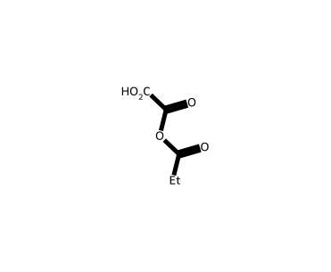 CCC(=O)OC(=O)C(=O)O